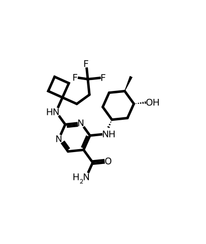 C[C@@H]1CC[C@@H](Nc2nc(NC3(CCC(F)(F)F)CCC3)ncc2C(N)=O)C[C@H]1O